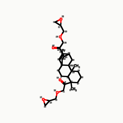 CC(C)C1=CC23CCC4C(C)(C(=O)COCC5CO5)CCCC4(C)C2CC1C(C(=O)COCC1CO1)C3